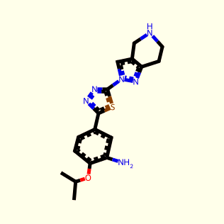 CC(C)Oc1ccc(-c2nnc(-n3cc4c(n3)CCNC4)s2)cc1N